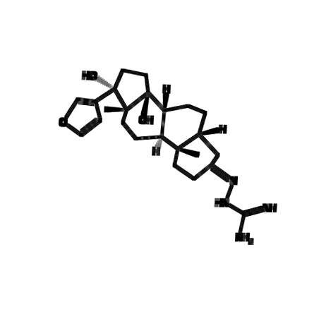 C[C@]12CCC(=NNC(=N)N)C[C@H]1CC[C@@H]1[C@@H]2CC[C@]2(C)[C@@](O)(c3ccoc3)CC[C@]12O